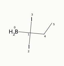 BC(I)(I)CC